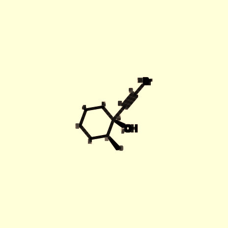 C[C@H]1CCCC[C@]1(O)C#CBr